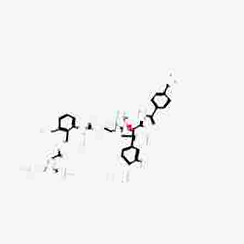 C[C@@H](c1nc(-c2ccc(C#N)cc2)cs1)[C@](O)(C[N+]1(CCOC(=O)Nc2cccc(Cl)c2COC(=O)CN(C)C)C=NC=N1)c1cccc(F)c1.Cl.[Cl-]